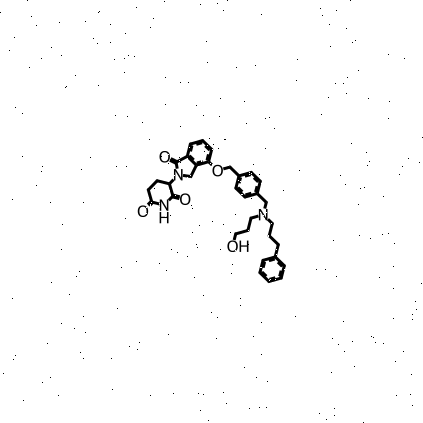 O=C1CCC(N2Cc3c(OCc4ccc(CN(CCCO)CCCc5ccccc5)cc4)cccc3C2=O)C(=O)N1